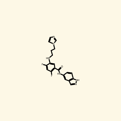 O=C(Nc1ccc2[nH]ncc2c1)c1cc(NCCCn2ccnc2)c(F)cc1F